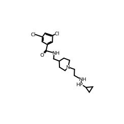 O=C(NCC1CCN(CCNPC2CC2)CC1)c1cc(Cl)cc(Cl)c1